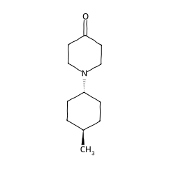 C[C@H]1CC[C@H](N2CCC(=O)CC2)CC1